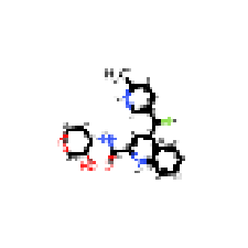 Cc1ccc(C(F)c2cc(C(=O)N[C@H]3CCOC[C@@H]3O)nc3ccccc23)cn1